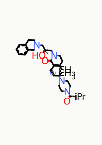 CC1=C(/C=C\C(C)N2CCN(C(=O)C(C)C)CC2)C(=O)N(C[C@H](O)CN2CCc3ccccc3C2)CC1